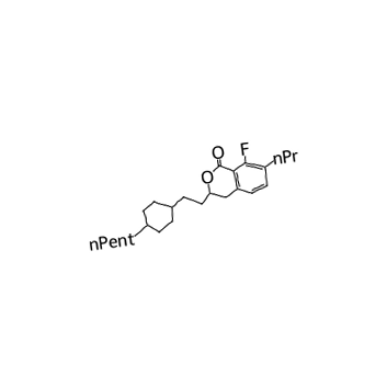 CCCCCC1CCC(CCC2Cc3ccc(CCC)c(F)c3C(=O)O2)CC1